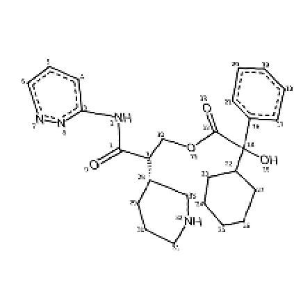 O=C(Nc1cccnn1)C(COC(=O)C(O)(c1ccccc1)C1CCCCC1)[C@H]1CCCNC1